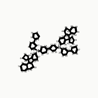 c1ccc(-c2cccc(N(c3ccc(-c4ccc(N(c5cccc(-c6ccccc6)c5)c5ccc6c(c5)C5(CCCC5)c5c-6ccc6ccccc56)cc4)cc3)c3ccc4c(c3)C3(CCCC3)c3c-4ccc4ccccc34)c2)cc1